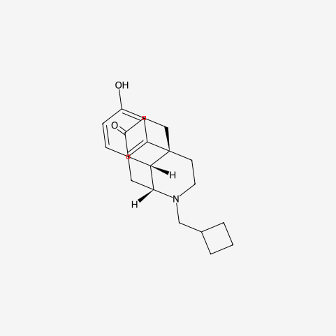 O=C1CC[C@]23CCN(CC4CCC4)[C@H](Cc4ccc(O)cc42)[C@@H]3C1